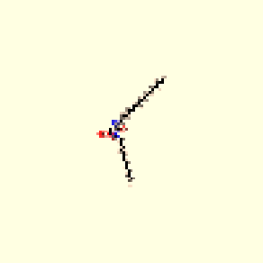 CCCCCCCCCCCCCCCCN[C@@H](CC(=O)O)C(=O)NCCCCCCCCCCCC